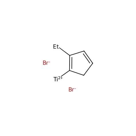 CCC1=[C]([Ti+2])CC=C1.[Br-].[Br-]